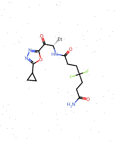 CC[C@H](NC(=O)[CH]CC(F)(F)CCC(N)=O)C(=O)c1nnc(C2CC2)o1